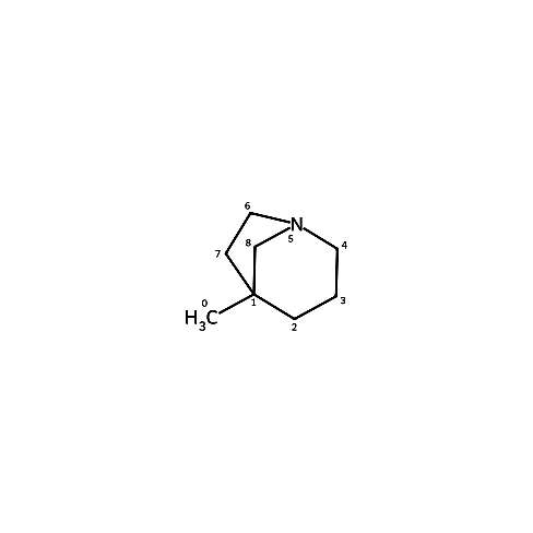 CC12CCCN(CC1)C2